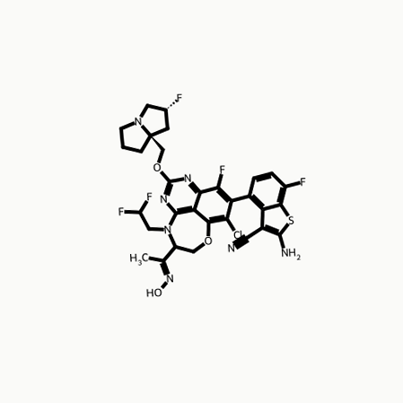 CC(=NO)C1COc2c(Cl)c(-c3ccc(F)c4sc(N)c(C#N)c34)c(F)c3nc(OC[C@@]45CCCN4C[C@H](F)C5)nc(c23)N1CC(F)F